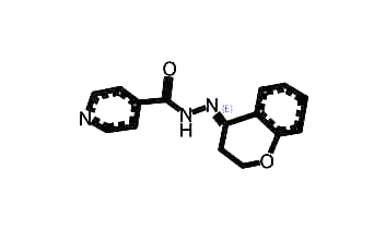 O=C(N/N=C1\CCOc2ccccc21)c1ccncc1